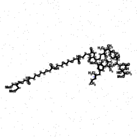 C=C/C=C(\C)Cc1cc(OC)c(Cl)c(N(C)C(=O)C[C@H](OC(=O)[C@H](C)N(C)C(=O)CCSC2CC(=O)N(CCNC(=O)COCCOCCNC(=O)COCCOCCNC(=O)CON=C(CSC)CSC)C2=O)[C@]2(C)O[C@H]2C(C)[C@@H]2C[C@](O)([C@@H](C)OC)NC(=O)O2)c1